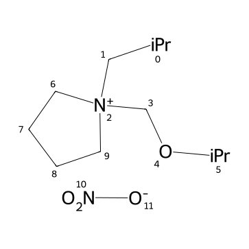 CC(C)C[N+]1(COC(C)C)CCCC1.O=[N+]([O-])[O-]